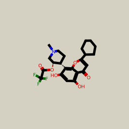 CN1CC[C@H](c2c(O)cc(O)c3c(=O)cc(C4CCCCC4)oc23)[C@H](OC(=O)C(F)(F)F)C1